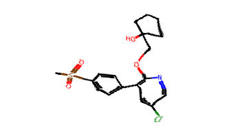 CS(=O)(=O)c1ccc(-c2cc(Cl)cnc2OCC2(O)CCCC2)cc1